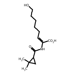 CC1(C)CC1C(=O)NC(=CCCCCCO)C(=O)O